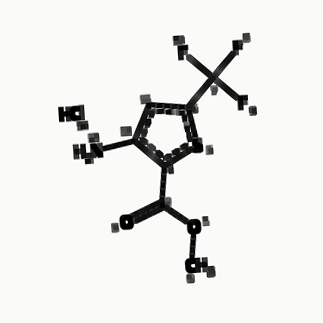 COC(=O)c1sc(C(F)(F)F)cc1N.Cl